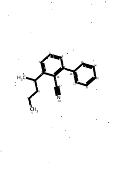 CCCC(C)c1cccc(-c2ccccc2)c1C#N